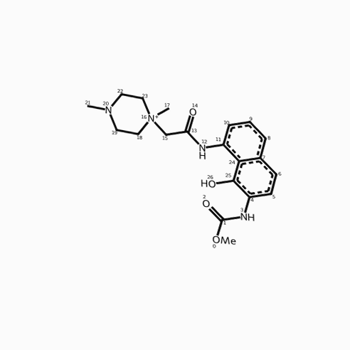 COC(=O)Nc1ccc2cccc(NC(=O)C[N+]3(C)CCN(C)CC3)c2c1O